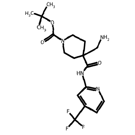 CC(C)(C)OC(=O)N1CCC(CN)(C(=O)Nc2cc(C(F)(F)F)ccn2)CC1